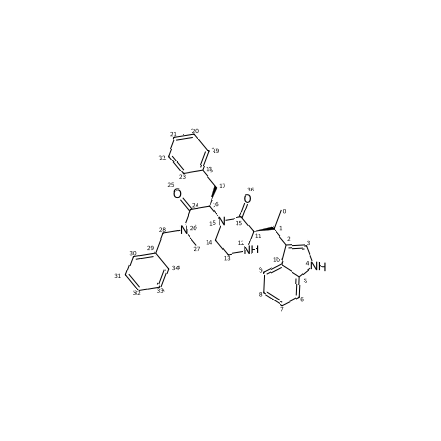 CC(c1c[nH]c2ccccc12)[C@H]1NCCN([C@H](Cc2ccccc2)C(=O)N(C)Cc2ccccc2)C1=O